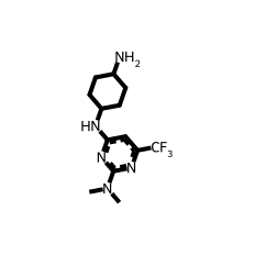 CN(C)c1nc(NC2CCC(N)CC2)cc(C(F)(F)F)n1